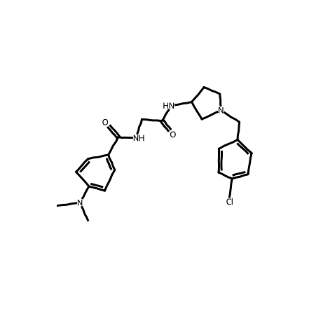 CN(C)c1ccc(C(=O)NCC(=O)NC2CCN(Cc3ccc(Cl)cc3)C2)cc1